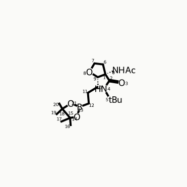 CC(=O)N[C@@]1(C(=O)NC(C)(C)C)CCO[C@H]1CCCB1OC(C)(C)C(C)(C)O1